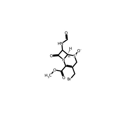 COC(=O)C1=C(CBr)C[S+]([O-])[C@@H]2C(NC=O)C(=O)N12